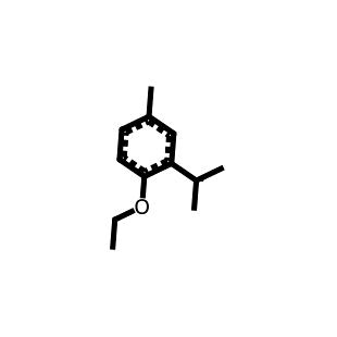 CCOc1ccc(C)cc1[C](C)C